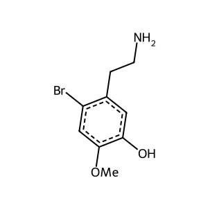 COc1cc(Br)c(CCN)cc1O